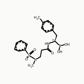 Cc1ccc(C[C@H](NC(=O)CCN(C)S(=O)(=O)c2ccccc2)B(O)O)cc1